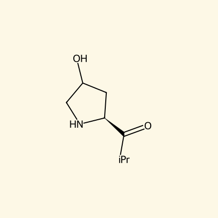 CC(C)C(=O)[C@@H]1CC(O)CN1